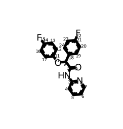 O=C(Nc1ccccn1)C(Oc1ccc(F)cc1)c1ccc(F)cc1